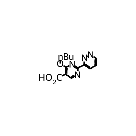 CCCCOc1nc(-c2cccnn2)ncc1C(=O)O